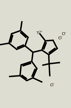 Cc1cc(C)cc(C(C2=[C]([Ti+3])CC=C2C(C)(C)C)c2cc(C)cc(C)c2)c1.[Cl-].[Cl-].[Cl-]